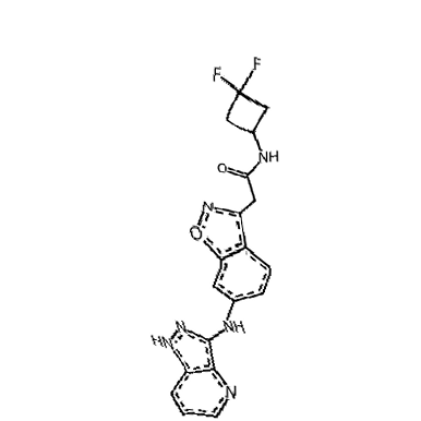 O=C(Cc1noc2cc(Nc3n[nH]c4cccnc34)ccc12)NC1CC(F)(F)C1